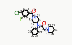 O=C(c1ccc(Cl)c(F)c1)N1CCC(N(C(=O)CN2CCCCC2)c2ccccc2)CC1